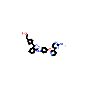 Nc1nccc(-c2cccnc2Oc2ccc(Nc3nnc(-c4ccc(CCO)cc4)c4ccccc34)cc2)n1